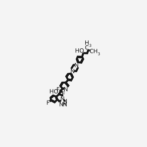 CC(C)CC(O)c1ccc(N2CCN(c3ccc(-c4ccc(C(F)(F)[C@]5(O)Cn6nnnc6-c6cc(F)ccc65)nc4)cc3)CC2)cc1